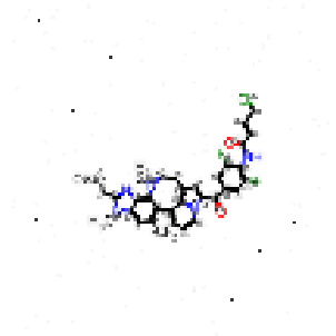 COCc1nc2c3c(c(C(F)(F)F)cc2n1C)-c1cccn2c(C(=O)c4cc(F)c(NC(=O)/C=C/CCl)c(F)c4)cc(c12)CCN3C